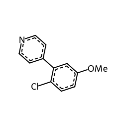 COc1ccc(Cl)c(-c2ccncc2)c1